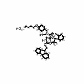 CC(C)C[C@H](NC(=O)OCC1c2ccccc2-c2ccccc21)C1(C(=O)OCc2ccc(OCCCCC(=O)O)cc2)OCC(C)(C)[C@H](c2ccccc2[N+](=O)[O-])O1